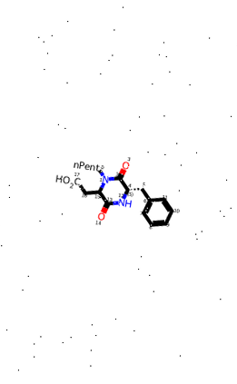 CCCCCN1C(=O)[C@H](Cc2ccccc2)NC(=O)C1CC(=O)O